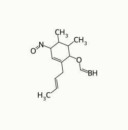 B=COC1C(C/C=C/C)=CC(N=O)C(C)C1C